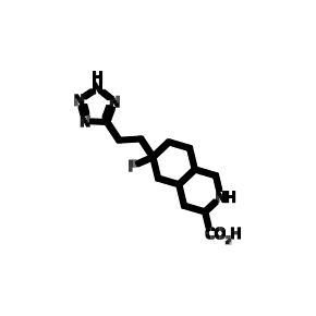 O=C(O)C1CC2CC(F)(CCc3nn[nH]n3)CCC2CN1